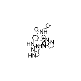 COCCNC(=O)c1ccc(Nc2nc(CNc3cccnc3N(C)S(C)(=O)=O)c3cc[nH]c3n2)cc1